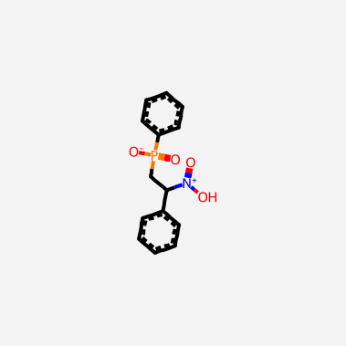 O=[N+](O)C(CP(=O)([O-])c1ccccc1)c1ccccc1